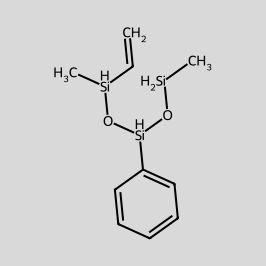 C=C[SiH](C)O[SiH](O[SiH2]C)c1ccccc1